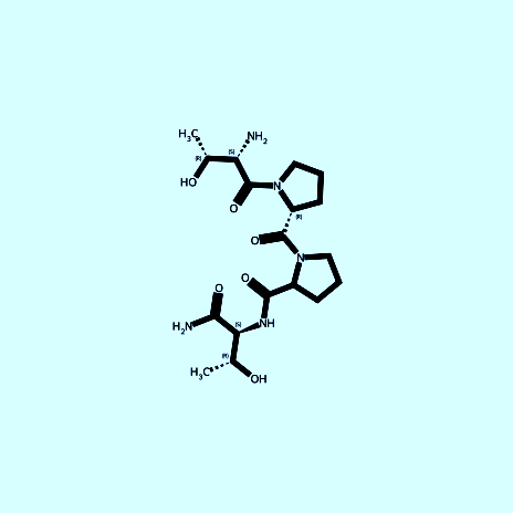 C[C@@H](O)[C@H](N)C(=O)N1CCC[C@@H]1C(=O)N1CCCC1C(=O)N[C@H](C(N)=O)[C@@H](C)O